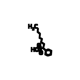 CCCCCCCCC(c1ccccc1)S(=O)(=O)O